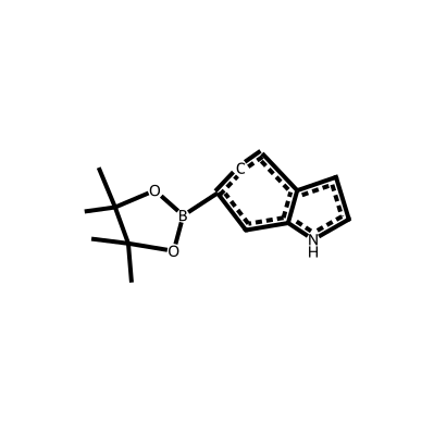 CC1(C)OB(c2ccc3cc[nH]c3c2)OC1(C)C